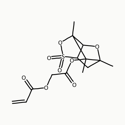 C=CC(=O)OCC(=O)OC1(C)C2(C)CC3C(O2)C1(C)OS3(=O)=O